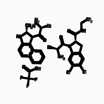 CC[C@H](N)C(=O)C1c2c(ccc3ccccc23)N[C@@H]1C(=O)O.CC[C@H](N)C(=O)N1c2cc(Cl)c(Cl)cc2C[C@H]1C(=O)NCC(F)(F)F.O=C(O)C(F)(F)F